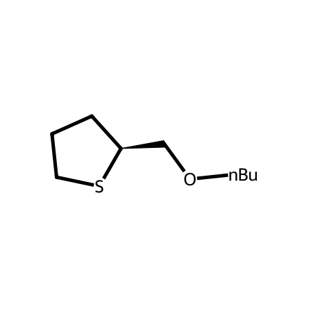 CCCCOC[C@@H]1CCCS1